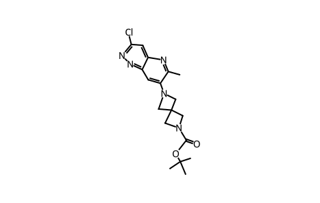 Cc1nc2cc(Cl)nnc2cc1N1CC2(CN(C(=O)OC(C)(C)C)C2)C1